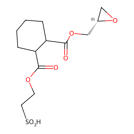 O=C(OCCS(=O)(=O)O)C1CCCCC1C(=O)OC[C@@H]1CO1